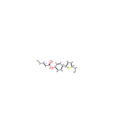 CC/C=C/C(=O)Oc1ccc(-c2ccc(CC)s2)cc1